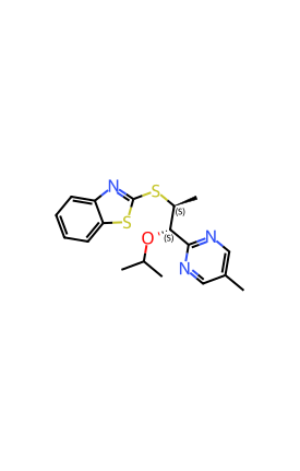 Cc1cnc([C@H](OC(C)C)[C@H](C)Sc2nc3ccccc3s2)nc1